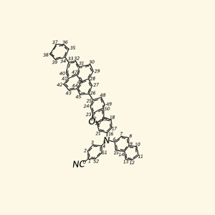 N#Cc1ccc(N(c2ccc3ccccc3c2)c2ccc3c(c2)oc2cc(-c4cc5ccc6cc(-c7ccccc7)cc7ccc(c4)c5c67)ccc23)cc1